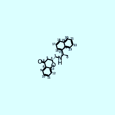 C[C@@H](NC[C@H]1CC(=O)c2ccccc2O1)c1cccc2ccccc12